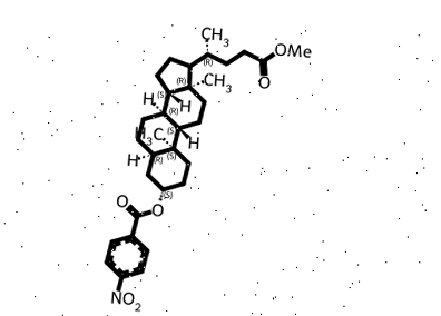 COC(=O)CC[C@@H](C)C1CC[C@H]2[C@@H]3CC[C@@H]4C[C@@H](OC(=O)c5ccc([N+](=O)[O-])cc5)CC[C@]4(C)[C@H]3CC[C@]12C